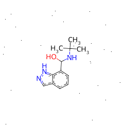 CC(C)(C)NC(O)c1cccc2cn[nH]c12